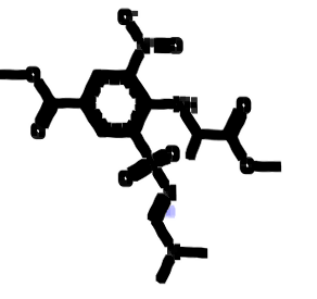 COC(=O)c1cc([N+](=O)[O-])c(NC(C)C(=O)OC)c(S(=O)(=O)/N=C/N(C)C)c1